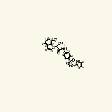 CC(C(=O)Nc1ccc(S(=O)(=O)Nc2nccs2)cc1)n1ccc2cccc(Cl)c21